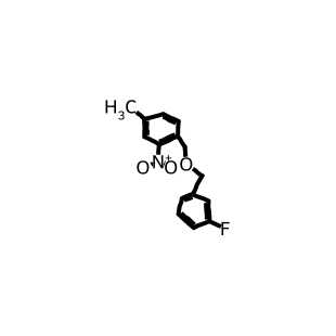 Cc1ccc(COCc2cccc(F)c2)c([N+](=O)[O-])c1